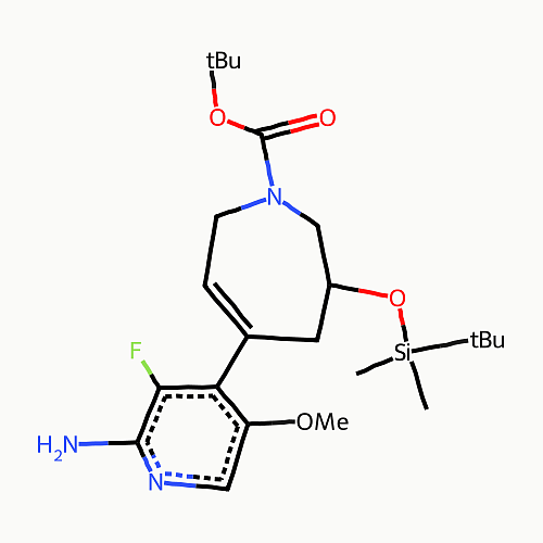 COc1cnc(N)c(F)c1C1=CCN(C(=O)OC(C)(C)C)CC(O[Si](C)(C)C(C)(C)C)C1